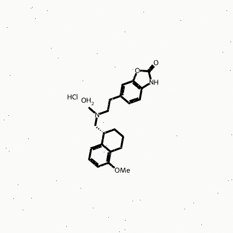 COc1cccc2c1CCC[C@H]2CN(C)CCc1ccc2[nH]c(=O)oc2c1.Cl.O